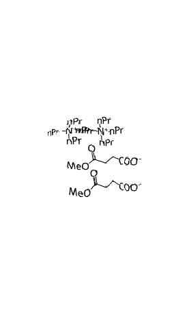 CCC[N+](CCC)(CCC)CCC.CCC[N+](CCC)(CCC)CCC.COC(=O)CCC(=O)[O-].COC(=O)CCC(=O)[O-]